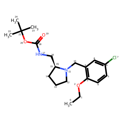 CCOc1ccc(Cl)cc1CN1CCC[C@H]1CNC(=O)OC(C)(C)C